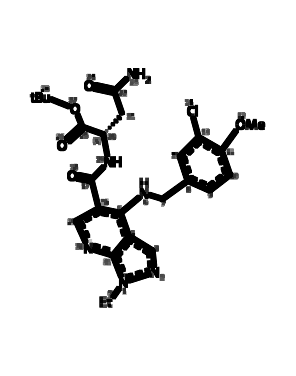 CCn1ncc2c(NCc3ccc(OC)c(Cl)c3)c(C(=O)N[C@@H](CC(N)=O)C(=O)OC(C)(C)C)cnc21